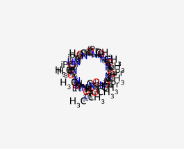 C/C=C/C[C@@H](C)[C@@H]1OC(C)[C@H]2C(=O)N(C)[C@H]1C(=O)N[C@@H](CC)C(=O)N(C)CC(=O)N(C)C([C@H](C)C(C)C)C(=O)N[C@@H](C(C)C)C(=O)N(C)[C@@H](CC(C)C)C(=O)N[C@@H](C)C(=O)N[C@@H](C)C(=O)N(C)[C@@H](CC(C)C)C(=O)N(C)[C@@H](CC(C)C)C(=O)N2C